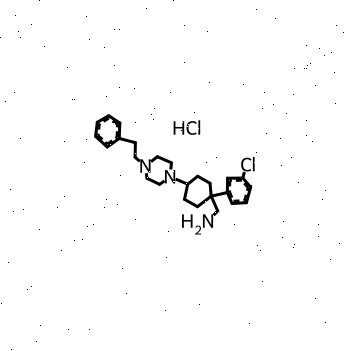 Cl.NCC1(c2cccc(Cl)c2)CCC(N2CCN(CCc3ccccc3)CC2)CC1